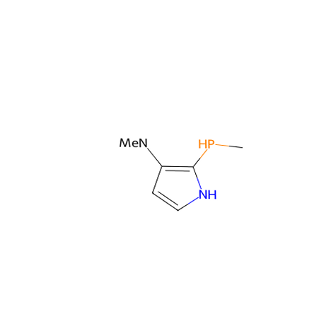 CNc1cc[nH]c1PC